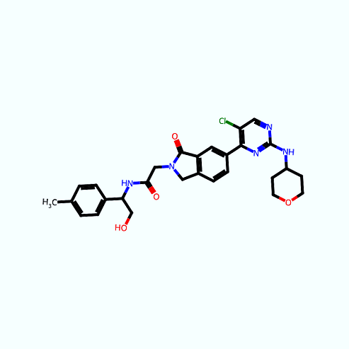 Cc1ccc(C(CO)NC(=O)CN2Cc3ccc(-c4nc(NC5CCOCC5)ncc4Cl)cc3C2=O)cc1